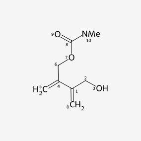 C=C(CO)C(=C)COC(=O)NC